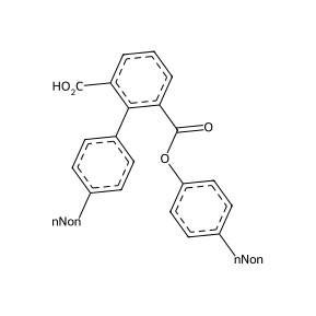 CCCCCCCCCc1ccc(OC(=O)c2cccc(C(=O)O)c2-c2ccc(CCCCCCCCC)cc2)cc1